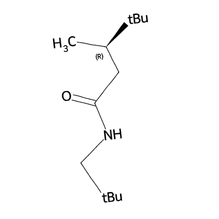 C[C@H](CC(=O)NCC(C)(C)C)C(C)(C)C